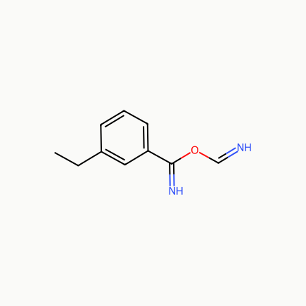 CCc1cccc(C(=N)OC=N)c1